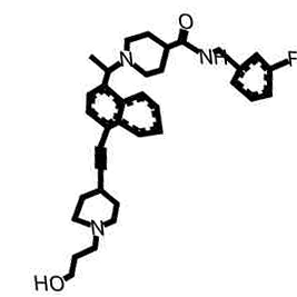 CC(c1ccc(C#CC2CCN(CCCO)CC2)c2ccccc12)N1CCC(C(=O)NCc2cccc(F)c2)CC1